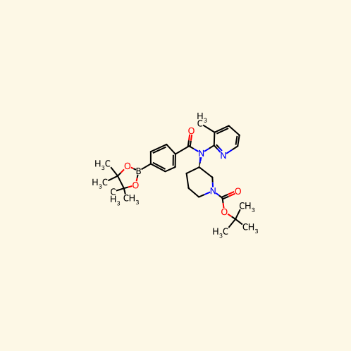 Cc1cccnc1N(C(=O)c1ccc(B2OC(C)(C)C(C)(C)O2)cc1)[C@@H]1CCCN(C(=O)OC(C)(C)C)C1